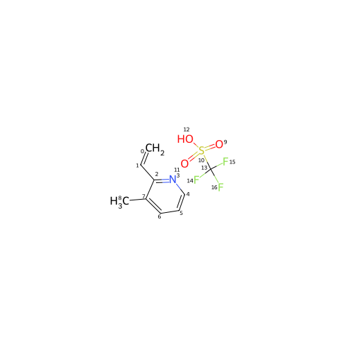 C=Cc1ncccc1C.O=S(=O)(O)C(F)(F)F